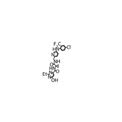 CCc1nc(O)cc(C(=O)NC2(C(=O)NCc3ccc(Nc4ccc(Cl)cc4C(F)(F)F)cn3)CC2)n1